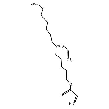 C=CC(=O)O.C=CC(=O)OCCCCCCCCCCCCCCCCCCCCCC